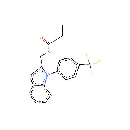 CCC(=O)NCc1cc2ccccc2n1-c1ccc(C(F)(F)F)cc1